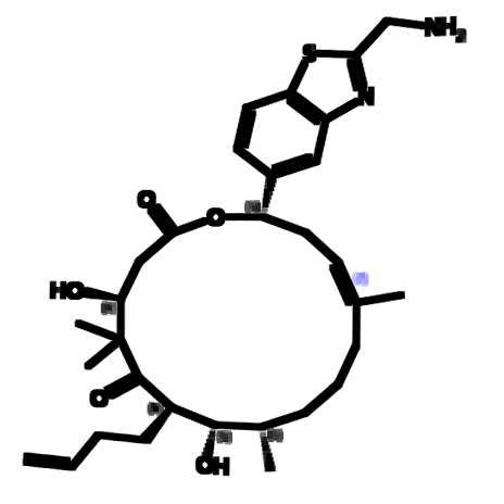 C=CCC[C@H]1C(=O)C(C)(C)[C@@H](O)CC(=O)O[C@H](c2ccc3sc(CN)nc3c2)C/C=C(/C)CCC[C@H](C)[C@@H]1O